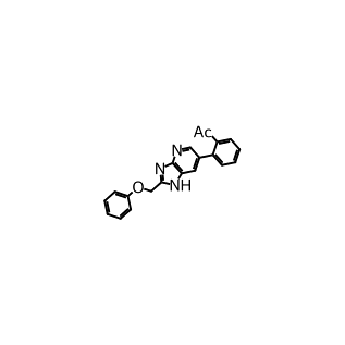 CC(=O)c1ccccc1-c1cnc2nc(COc3ccccc3)[nH]c2c1